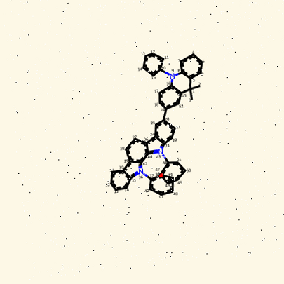 CC1(C)c2ccccc2N(c2ccccc2)c2ccc(-c3ccc4c(c3)c3ccc5c6ccccc6n(-c6ccccc6)c5c3n4-c3ccccc3)cc21